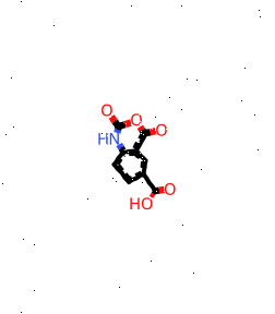 O=C(O)c1ccc2[nH]c(=O)oc(=O)c2c1